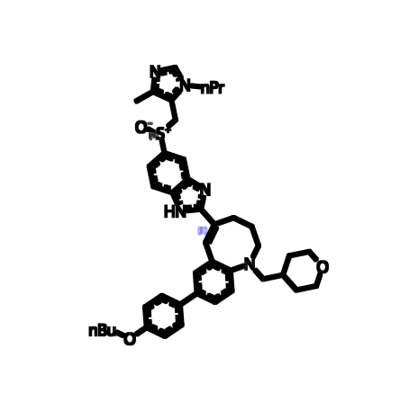 CCCCOc1ccc(-c2ccc3c(c2)/C=C(/c2nc4cc([S@@+]([O-])Cc5c(C)ncn5CCC)ccc4[nH]2)CCCN3CC2CCOCC2)cc1